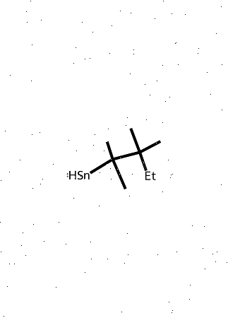 CCC(C)(C)[C](C)(C)[SnH]